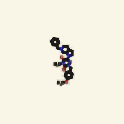 COc1ccc(Cn2nc(N3CCC4CCN(Cc5ccccc5)CC43)c(=O)n(C)c2=O)cc1